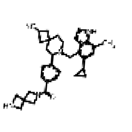 Cc1cc(C2CC2)c(CN2CCC3(CC(C#N)C3)CC2c2ccc(C(=O)N3CC4(CNC4)C3)cc2)c2cc[nH]c12